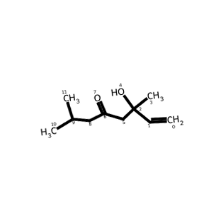 C=CC(C)(O)CC(=O)CC(C)C